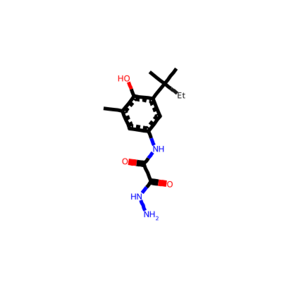 CCC(C)(C)c1cc(NC(=O)C(=O)NN)cc(C)c1O